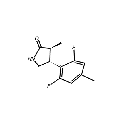 Cc1cc(F)c([C@@H]2CNC(=O)[C@H]2C)c(F)c1